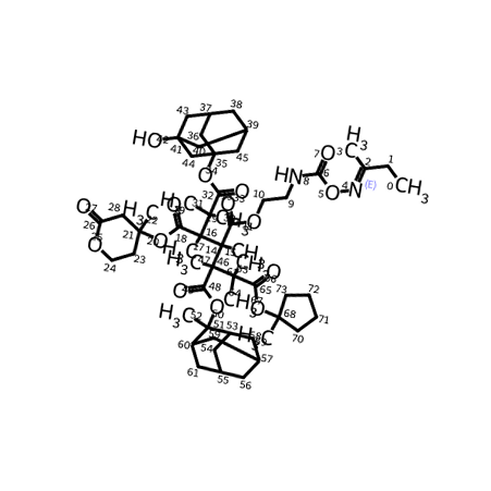 CC/C(C)=N/OC(=O)NCCOC(=O)C(C)(C(C)(C(=O)OC1(C)CCOC(=O)C1)C(C)(C)C(=O)OC12CC3CC(CC(O)(C3)C1)C2)C(C)(C(=O)OC1(C)C2CC3CC(C2)CC1C3)C(C)(C)C(=O)OC1(C)CCCC1